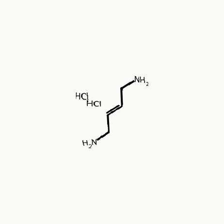 Cl.Cl.NCC=CCN